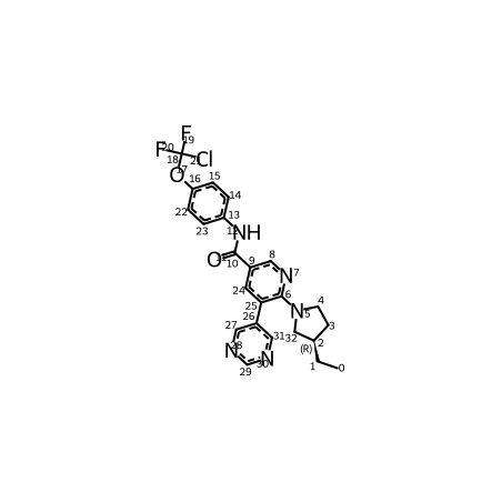 CC[C@@H]1CCN(c2ncc(C(=O)Nc3ccc(OC(F)(F)Cl)cc3)cc2-c2cncnc2)C1